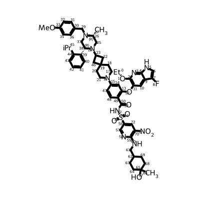 CCOc1nc2[nH]cc(F)c2cc1Oc1cc(N2CCC3(CC2)CC(N2C[C@@H](C)N(Cc4ccc(OC)cc4)C[C@H]2c2ccccc2C(C)C)C3)ccc1C(=O)NS(=O)(=O)c1cnc(NCC2CCC(C)(O)CC2)c([N+](=O)[O-])c1